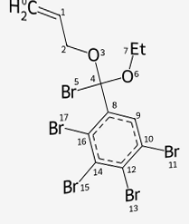 C=CCOC(Br)(OCC)c1cc(Br)c(Br)c(Br)c1Br